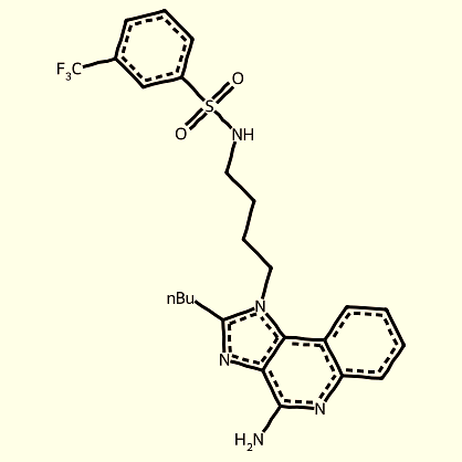 CCCCc1nc2c(N)nc3ccccc3c2n1CCCCNS(=O)(=O)c1cccc(C(F)(F)F)c1